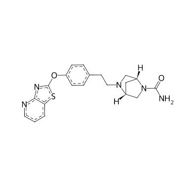 NC(=O)N1C[C@H]2C[C@@H]1CN2CCc1ccc(Oc2nc3ncccc3s2)cc1